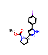 CC(C)(C)OC(=O)N1CCC[C@@H]1c1cc(-c2ccc(I)cc2)[nH]n1